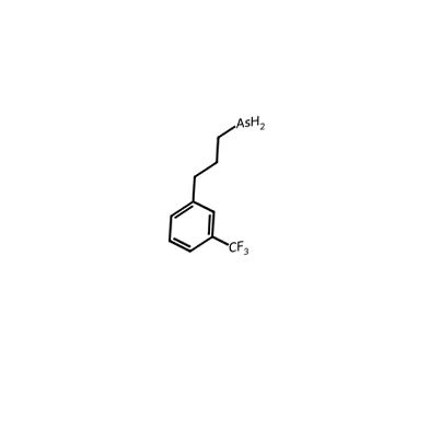 FC(F)(F)c1cccc(CCC[AsH2])c1